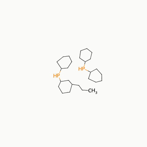 C1CCC(PC2CCCCC2)CC1.CCCC1CCCC(PC2CCCCC2)C1